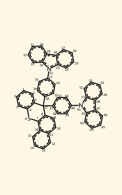 c1ccc2c(c1)Sc1c(ccc3ccccc13)C2(c1ccc(-n2c3ccccc3c3ccccc32)cc1)c1ccc(-n2c3ccccc3c3ccccc32)cc1